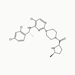 C[C@@H]1CC[C@H](C(=O)N2CCN(c3ncc(Cl)c(N[C@H](C)c4ccc(Cl)cc4Cl)n3)CC2)N1